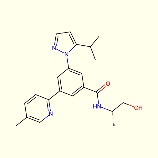 Cc1ccc(-c2cc(C(=O)N[C@@H](C)CO)cc(-n3nccc3C(C)C)c2)nc1